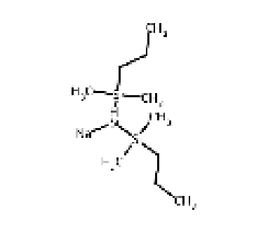 CCC[Si](C)(C)[SiH]([Na])[Si](C)(C)CCC